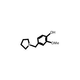 COc1cc(CN2CCCC2)ccc1O